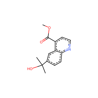 COC(=O)c1ccnc2ccc(C(C)(C)O)cc12